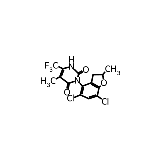 Cc1c(C(F)(F)F)[nH]c(=O)n(-c2c(Cl)cc(Cl)c3c2CC(C)O3)c1=O